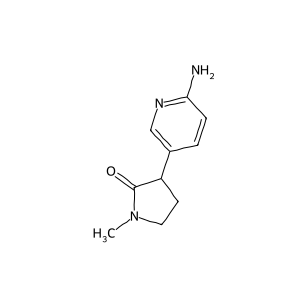 CN1CCC(c2ccc(N)nc2)C1=O